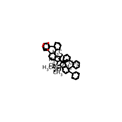 CCC(C)C1=Cc2c(ccc(-c3ccccc3)c2-c2ccccc2-c2ccccc2)[CH]1[Zr]([Cl])([Cl])([CH]1C(C(C)CC)=Cc2c1ccc(-c1ccccc1)c2-c1ccccc1-c1ccccc1)[SiH](C)C